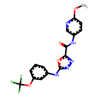 COc1ccc(NC(=O)c2nnc(Nc3cccc(OC(F)(F)F)c3)o2)cn1